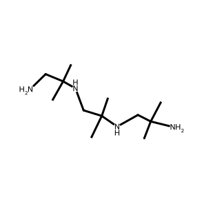 CC(C)(N)CNC(C)(C)CNC(C)(C)CN